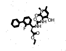 CCOC(=O)C[C@H](NC(=O)Nc1c(O)cc(C)n(C)c1=O)c1cccc(-c2ccccc2)c1F